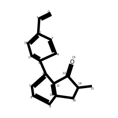 C=Cc1ccc(-c2cccc3c2C(=O)C(C)C3)cc1